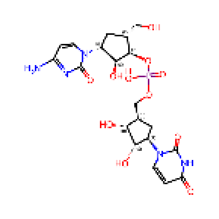 Nc1ccn([C@@H]2C[C@H](CO)[C@@H](OP(=O)(O)OC[C@H]3C[C@@H](n4ccc(=O)[nH]c4=O)[C@H](O)[C@@H]3O)[C@H]2O)c(=O)n1